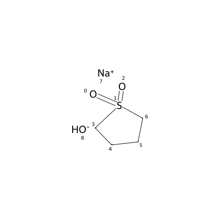 O=S1(=O)CCCC1.[Na+].[OH-]